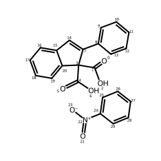 O=C(O)C1(C(=O)O)C(c2ccccc2)=Cc2ccccc21.O=[N+]([O-])c1ccccc1